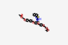 C=CC(=O)OCCCOc1ccc(-c2ccc(COc3ccc(OCc4ccc(OCCCOC5OC5(C)C)cc4)c(/C(C)=N/Nc4nc5c(ccc6ccccc65)s4)c3)cc2)cc1